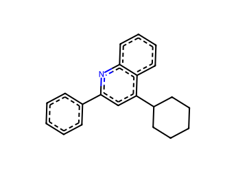 c1ccc(-c2cc(C3CCCCC3)c3ccccc3n2)cc1